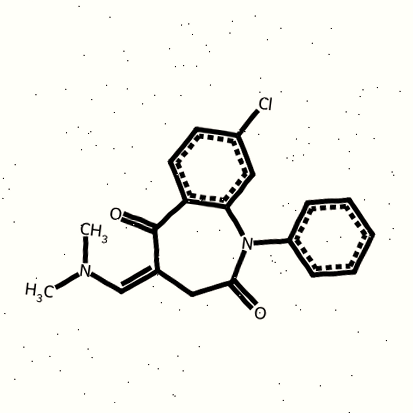 CN(C)/C=C1/CC(=O)N(c2ccccc2)c2cc(Cl)ccc2C1=O